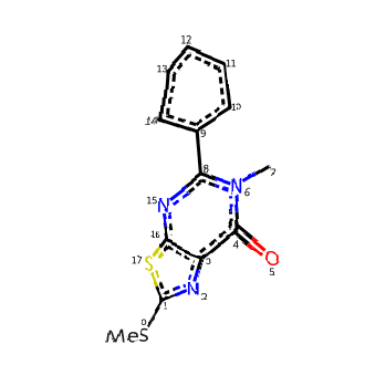 CSc1nc2c(=O)n(C)c(-c3ccccc3)nc2s1